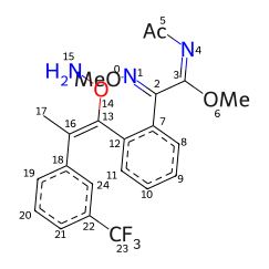 CO/N=C(/C(=N\C(C)=O)OC)c1ccccc1/C(ON)=C(/C)c1cccc(C(F)(F)F)c1